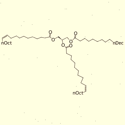 CCCCCCCC/C=C\CCCCCCCCCC(=O)OC[C@@H](COC(=O)CCCCCCCCCCCCCCCCCC)OC(=O)CCCCCCCCC/C=C\CCCCCCCC